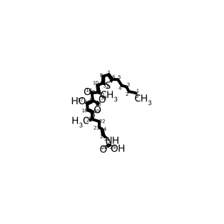 CCCCCCc1ccc(/C=C(\C)C(=O)c2c(O)cc(C(C)CCC=CNC(=O)O)oc2=O)s1